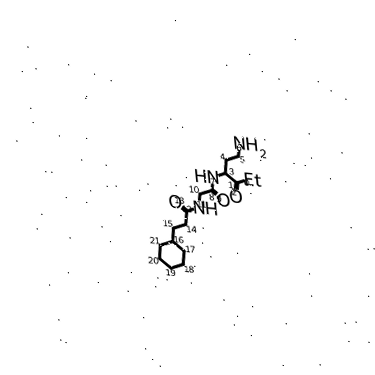 CCC(=O)C(CCN)NC(=O)CNC(=O)CCC1CCCCC1